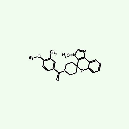 Cc1cc(C(=O)N2CCC3(CC2)Oc2ccccc2-c2ncn(C)c23)ccc1OC(C)C